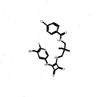 CC(C)(CNC(=O)c1ccc(Cl)cc1)CNc1c(Nc2cnc(F)c(Br)c2)c(=O)c1=O